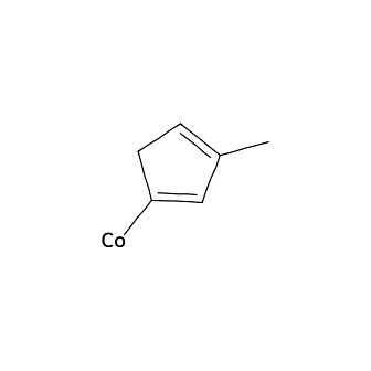 CC1=CC[C]([Co])=C1